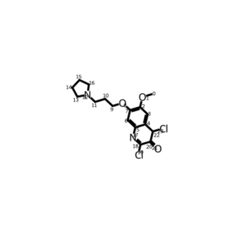 COc1cc2c(cc1OCCCN1CCCC1)N=C(Cl)C(=O)C2Cl